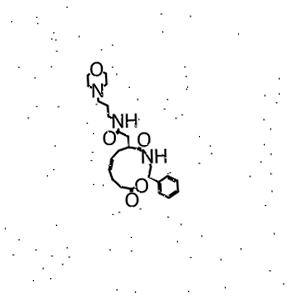 O=C(C[C@@H]1CC=CCCC(=O)O[C@H](c2ccccc2)CNC1=O)NCCCN1CCOCC1